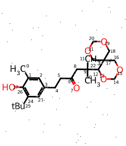 Cc1cc(CCC(=O)CC(C)(C)C2OCOCC23COCOC3)cc(C(C)(C)C)c1O